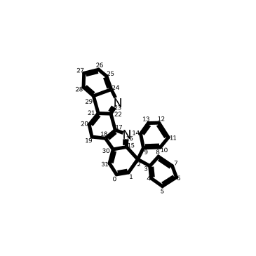 C1=CC(c2ccccc2)(c2ccccc2)C2=NC3=C(CC=C4C3=Nc3ccccc34)C2=C1